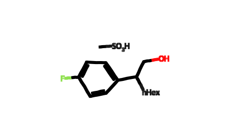 CCCCCCC(CO)c1ccc(F)cc1.CS(=O)(=O)O